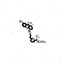 CO/N=C(\C)c1cccc(CCCO/N=C2\CCCc3c2nc2ccc(Br)cc2c3C)n1